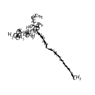 CC#CC#CC#CC#CC#CC#CC#CC#CC#CC#CC#CC#CC(=O)N[C@@H](COP(C)(=O)OC[C@H]1COC(C)(C)O1)[C@H](OC(C)C)[C@H](O)CCCCCCCCCCCCCC